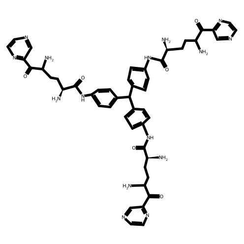 NC(CC[C@H](N)C(=O)Nc1ccc(C(c2ccc(NC(=O)[C@@H](N)CCC(N)C(=O)c3cnccn3)cc2)c2ccc(NC(=O)[C@@H](N)CCC(N)C(=O)c3cnccn3)cc2)cc1)C(=O)c1cnccn1